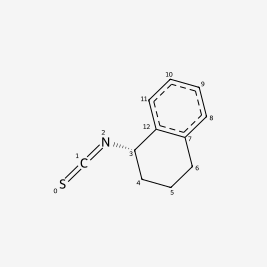 S=C=N[C@H]1CCCc2ccccc21